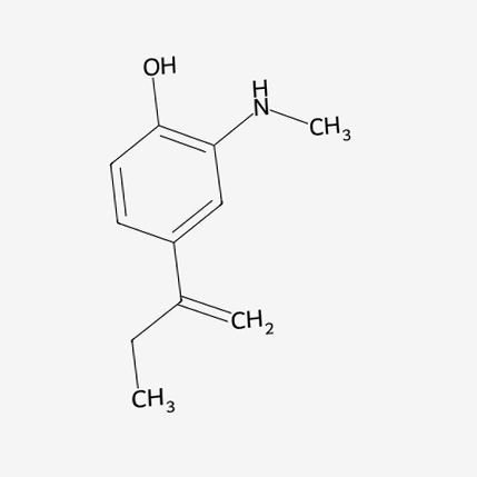 C=C(CC)c1ccc(O)c(NC)c1